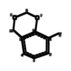 [CH2]c1cccc2c1OCOC2